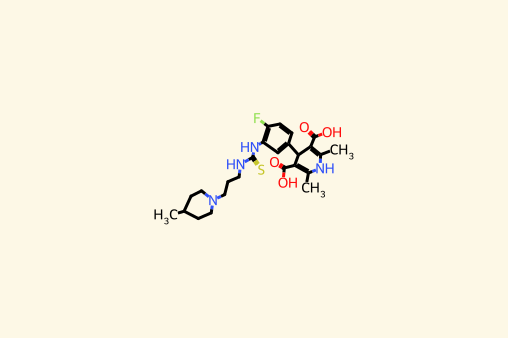 CC1=C(C(=O)O)C(c2ccc(F)c(NC(=S)NCCCN3CCC(C)CC3)c2)C(C(=O)O)=C(C)N1